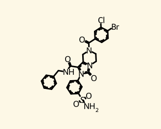 NS(=O)(=O)c1cccc(-n2c(C(=O)NCc3ccccc3)c3n(c2=O)CCN(C(=O)c2ccc(Br)c(Cl)c2)C3)c1